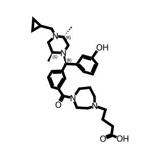 C[C@@H]1CN([C@@H](c2cccc(O)c2)c2cccc(C(=O)N3CCCN(CCCC(=O)O)CC3)c2)[C@@H](C)CN1CC1CC1